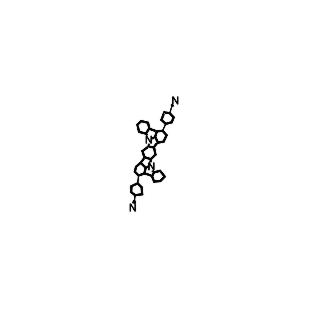 N#Cc1ccc(-c2ccc3c4cc5c(cc4n4c6ccccc6c2c34)c2ccc(-c3ccc(C#N)cc3)c3c4ccccc4n5c23)cc1